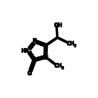 CC(O)c1n[nH]c(=O)n1C